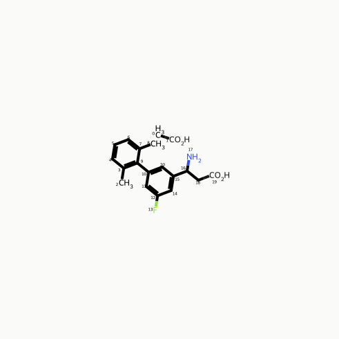 CC(=O)O.Cc1cccc(C)c1-c1cc(F)cc(C(N)CC(=O)O)c1